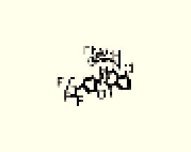 CCS(=O)(=O)C[C@H](C)NC(=O)c1c(Cl)cccc1C(=O)Nc1ccc(C(C(F)F)C(F)(F)F)cc1Cl